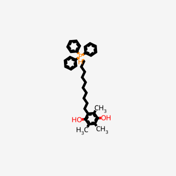 Cc1c(C)c(O)c(CCCCCCCCCC[PH](c2ccccc2)(c2ccccc2)c2ccccc2)c(C)c1O